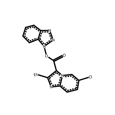 CCc1nc2ccc(Cl)cn2c1C(=O)On1nnc2ccccc21